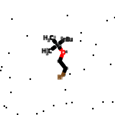 CCCC[Si](C)(C)OCCBr